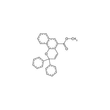 COC(=O)c1cc2ccccc2c2c1C=CC(c1ccccc1)(c1ccccc1)O2